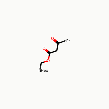 CCCCCCCOC(=O)CC(=O)CCC